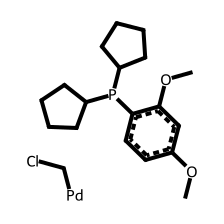 COc1ccc(P(C2CCCC2)C2CCCC2)c(OC)c1.Cl[CH2][Pd]